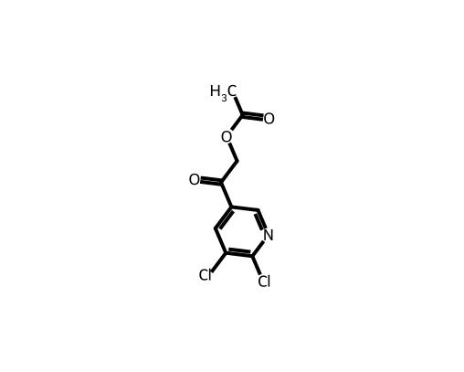 CC(=O)OCC(=O)c1cnc(Cl)c(Cl)c1